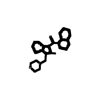 Cc1c(CN2CCOCC2)c2ccccc2n1C(=O)c1cccc2ccccc12